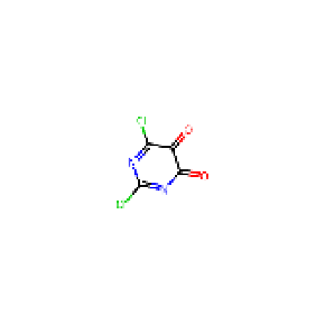 O=C1N=C(Cl)N=C(Cl)C1=O